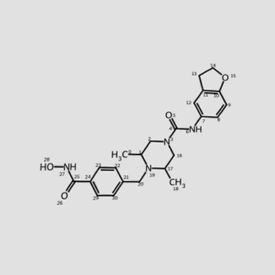 CC1CN(C(=O)Nc2ccc3c(c2)CCO3)CC(C)N1Cc1ccc(C(=O)NO)cc1